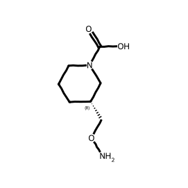 NOC[C@@H]1CCCN(C(=O)O)C1